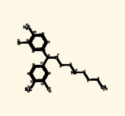 CCCCNCCOB(c1ccc(C)c(Cl)c1)c1ccc(C)c(Cl)c1